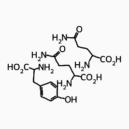 NC(=O)CCC(N)C(=O)O.NC(=O)CCC(N)C(=O)O.NC(Cc1ccc(O)cc1)C(=O)O